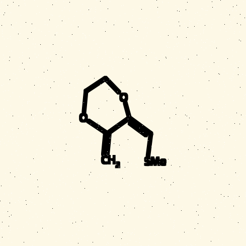 C=C1OCCO/C1=C/SC